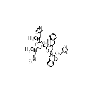 CCOCCN(C)CC[C@H](NC(=O)N(C)Cc1cncs1)C(=O)N[C@H](CCN(Cc1ccccc1)C(=O)OCc1cncs1)Cc1ccccc1